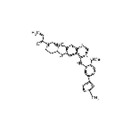 C=CC(=O)N1CCC(Oc2cc3c(Nc4cc(-c5cc(C)cs5)ccc4OC)ncnc3cc2OC)CC1